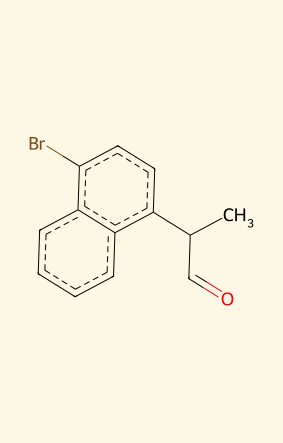 CC(C=O)c1ccc(Br)c2ccccc12